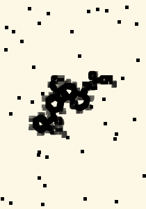 CCn1c2c(c3c4c(ccc31)/C(=N/OC(C)=O)CCCO4)=CC(C(=O)c1ccccc1C)CC=2